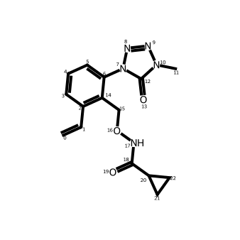 C=Cc1cccc(-n2nnn(C)c2=O)c1CONC(=O)C1CC1